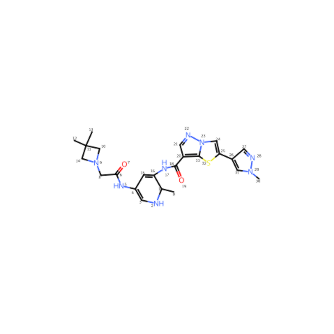 CC1NC=C(NC(=O)CN2CC(C)(C)C2)C=C1NC(=O)c1cnn2cc(-c3cnn(C)c3)sc12